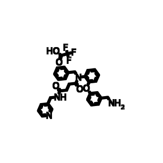 NCc1cccc(Oc2ccccc2N(Cc2ccccc2)C(=O)CCC(=O)NCc2cccnc2)c1.O=C(O)C(F)(F)F